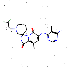 Cc1cc(Nc2ncnc(N)c2C)c(=O)n2c1C(=O)NC21CCCN(CC(F)F)C1